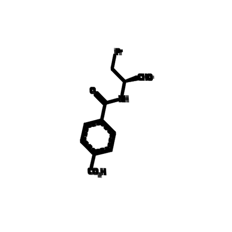 CC(C)C[C@@H]([C]=O)NC(=O)c1ccc(C(=O)O)cc1